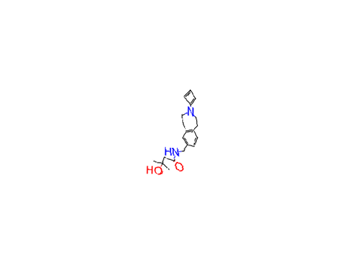 CC(C)(O)CC(=O)NCc1ccc2c(c1)CCN(C1=CC=C1)CC2